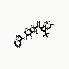 C[C@H](O)Cn1nc(Nc2nc3ncc(Oc4cnn5ccncc45)c(Cl)c3n2C)cc1C(C)(C)C